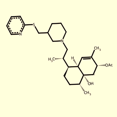 CC(=O)O[C@@H]1[C][C@@]2(O)[C@H](C)CC[C@@H]([C@H](C)CN3CCCC(CSc4ccccn4)C3)[C@H]2C=C1C